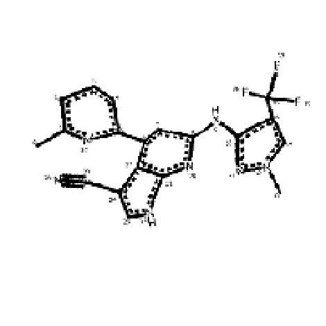 Cc1cccc(-c2cc(Nc3nn(C)cc3C(F)(F)F)nc3[nH]cc(C#N)c23)n1